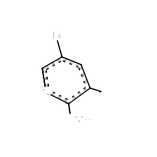 CSc1ncc(Br)cc1C(F)(F)F